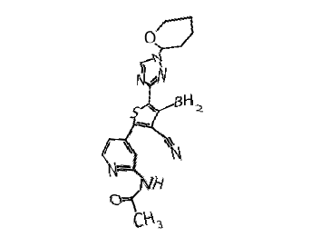 Bc1c(-c2ncn(C3CCCCO3)n2)sc(-c2ccnc(NC(C)=O)c2)c1C#N